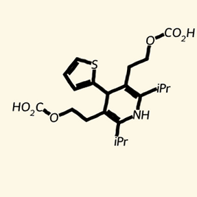 CC(C)C1=C(CCOC(=O)O)C(c2cccs2)C(CCOC(=O)O)=C(C(C)C)N1